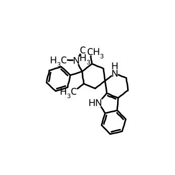 CC1CC2(CC(C)C1(c1ccccc1)N(C)C)NCCc1c2[nH]c2ccccc12